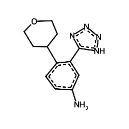 Nc1ccc(C2CCOCC2)c(-c2nnn[nH]2)c1